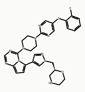 Fc1ccccc1Sc1cnc(N2CCN(c3ncnc4ccc(-c5cnn(C[C@@H]6CNCCO6)c5)n34)CC2)nc1